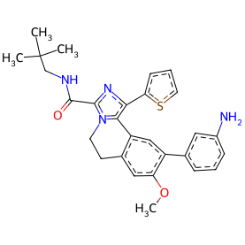 COc1cc2c(cc1-c1cccc(N)c1)-c1c(-c3cccs3)nc(C(=O)NCC(C)(C)C)n1CC2